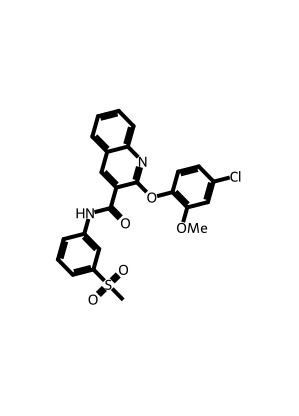 COc1cc(Cl)ccc1Oc1nc2ccccc2cc1C(=O)Nc1cccc(S(C)(=O)=O)c1